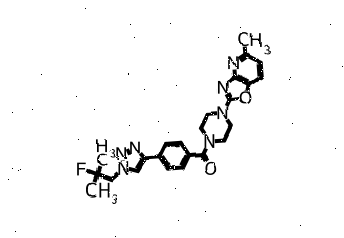 Cc1ccc2oc(N3CCN(C(=O)c4ccc(-c5cn(CC(C)(C)F)nn5)cc4)CC3)nc2n1